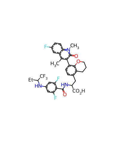 CCC(Nc1cc(F)c(C(=O)NC(Cc2ccc(-c3c(C)c4cc(F)ccc4n(C)c3=O)c3c2CCCO3)C(=O)O)c(F)c1)C(F)(F)F